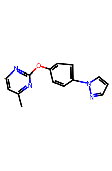 Cc1c[c]nc(Oc2ccc(-n3cccn3)cc2)n1